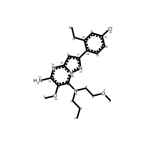 CCCN(CCOC)c1c(OC)c(N)nc2cc(-c3ccc(Cl)cc3CC)nn12